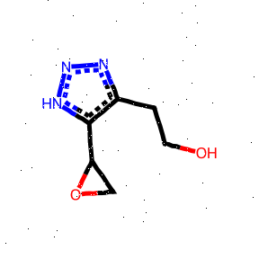 OCCc1nn[nH]c1C1CO1